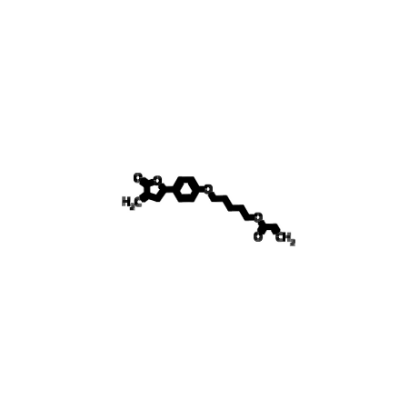 C=CC(=O)OCCCCCOc1ccc(C2CC(=C)C(=O)O2)cc1